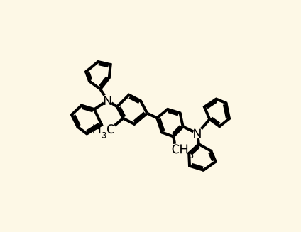 Cc1cc(-c2ccc(N(c3ccccc3)c3ccccc3)c(C)c2)ccc1N(c1ccccc1)c1ccccc1